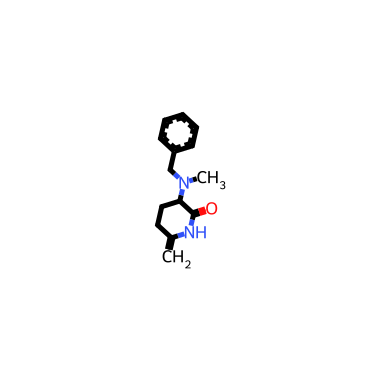 C=C1CCC(N(C)Cc2ccccc2)C(=O)N1